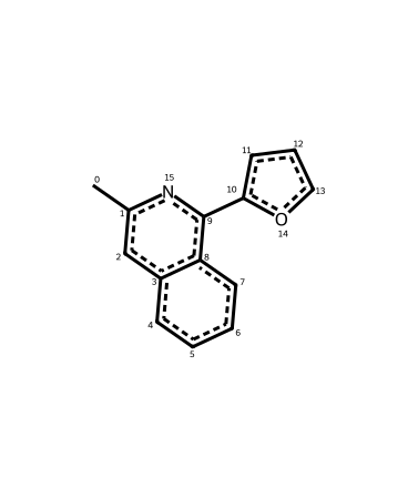 Cc1cc2ccccc2c(-c2ccco2)n1